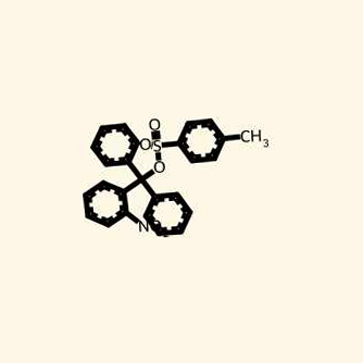 Cc1ccc(S(=O)(=O)OC(c2ccccc2)(c2ccccc2)c2ccccc2[N+](=O)[O-])cc1